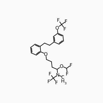 CN(C(CCCOc1ccccc1CCc1cccc(OC(F)(F)F)c1)OC(F)F)C(F)(F)F